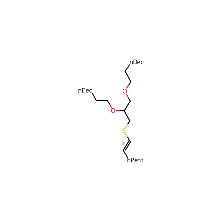 CCCCC/C=C/SCC(COCCCCCCCCCCCC)OCCCCCCCCCCCC